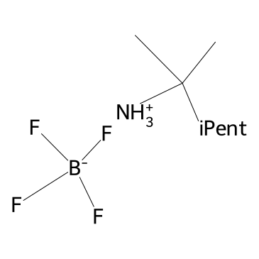 CCCC(C)C(C)(C)[NH3+].F[B-](F)(F)F